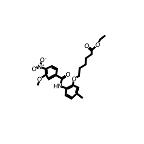 CCOC(=O)CCCCCOc1cc(C)ccc1NC(=O)c1ccc([N+](=O)[O-])c(OC)c1